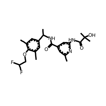 Cc1cc(C(=O)NC(C)c2cc(C)c(OCC(F)F)c(C)c2)cc(NC(=O)C(C)(C)O)n1